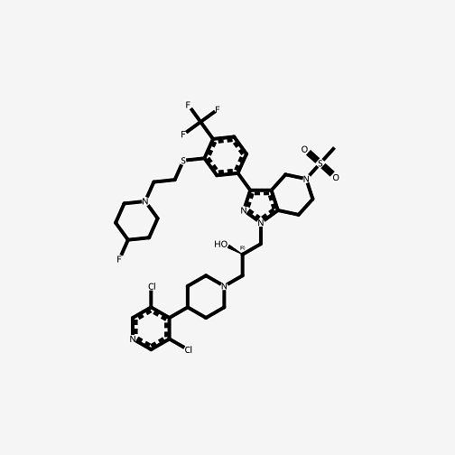 CS(=O)(=O)N1CCc2c(c(-c3ccc(C(F)(F)F)c(SCCN4CCC(F)CC4)c3)nn2C[C@H](O)CN2CCC(c3c(Cl)cncc3Cl)CC2)C1